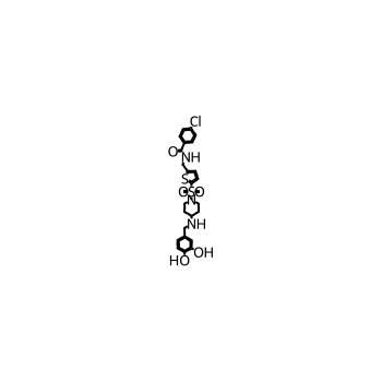 O=C(NCc1ccc(S(=O)(=O)N2CCC(NCc3ccc(O)c(O)c3)CC2)s1)c1ccc(Cl)cc1